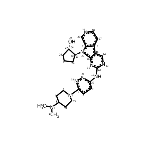 CN(C)C1CCN(c2ccc(Nc3ncc4c5ccncc5n([C@H]5CCC[C@@H]5O)c4n3)nn2)CC1